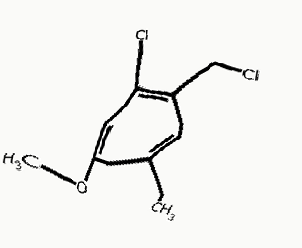 COc1cc(Cl)c(CCl)cc1C